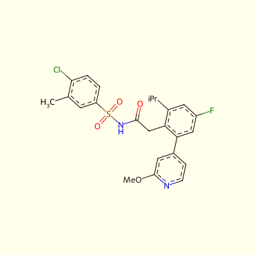 COc1cc(-c2cc(F)cc(C(C)C)c2CC(=O)NS(=O)(=O)c2ccc(Cl)c(C)c2)ccn1